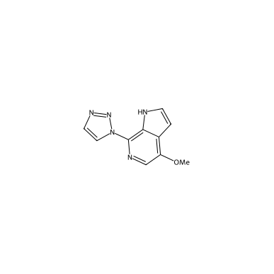 COc1cnc(-n2ccnn2)c2[nH]ccc12